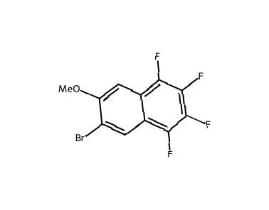 COc1cc2c(F)c(F)c(F)c(F)c2cc1Br